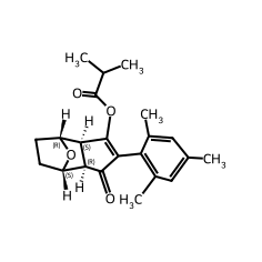 Cc1cc(C)c(C2=C(OC(=O)C(C)C)[C@H]3[C@@H](C2=O)[C@@H]2CC[C@H]3O2)c(C)c1